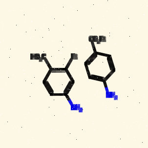 CCOC(=O)c1ccc(N)cc1.CCc1cc(N)ccc1C(=O)O